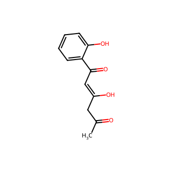 CC(=O)C/C(O)=C/C(=O)c1ccccc1O